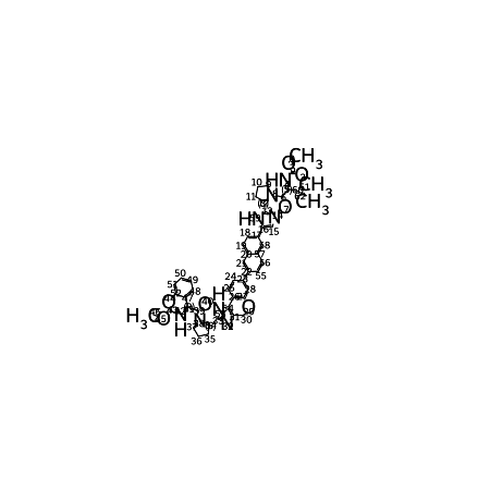 COC(=O)N[C@H](C(=O)N1CCC[C@H]1c1ncc(-c2ccc3cc(-c4ccc5c(c4)OCc4nc([C@@H]6CCCN6C(=O)[C@H](NC(=O)OC)c6ccccc6)[nH]c4-5)ccc3c2)[nH]1)C(C)C